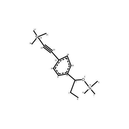 CCC(O[Si](C)(C)C)c1ccc(C#C[Si](C)(C)C)cc1